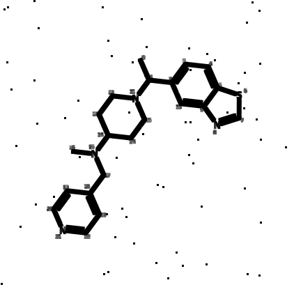 CC(c1ccc2scnc2c1)N1CCC(N(C)Cc2ccncc2)CC1